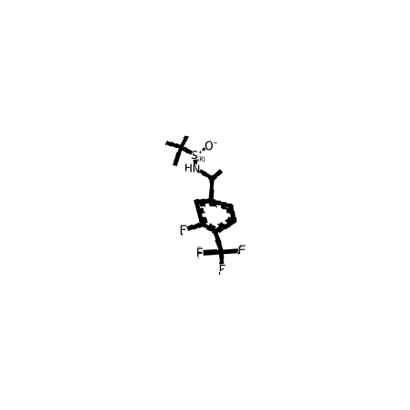 CC(N[S@@+]([O-])C(C)(C)C)c1ccc(C(F)(F)F)c(F)c1